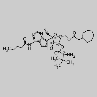 CCCCC(=O)Nc1ncnn2c([C@]3(C#N)O[C@H](COC(=O)CC4CCCCCC4)[C@@H](OC(=O)[C@@H](N)C(C)(C)C)[C@H]3O)ccc12